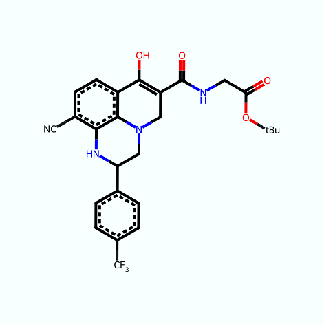 CC(C)(C)OC(=O)CNC(=O)C1=C(O)c2ccc(C#N)c3c2N(C1)CC(c1ccc(C(F)(F)F)cc1)N3